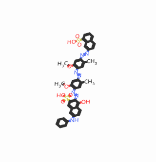 COc1cc(N=Nc2ccc3cccc(S(=O)(=O)O)c3c2)c(C)cc1N=Nc1cc(OC)c(N=Nc2c(S(=O)(=O)O)cc3cc(Nc4ccccc4)ccc3c2O)cc1C